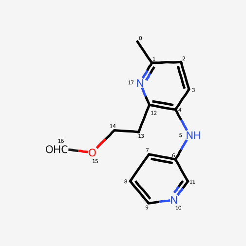 Cc1ccc(Nc2cccnc2)c(CCOC=O)n1